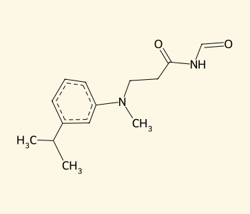 CC(C)c1cccc(N(C)CCC(=O)NC=O)c1